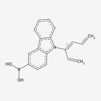 C=C/C=C(\C=C)n1c2ccccc2c2cc(B(O)O)ccc21